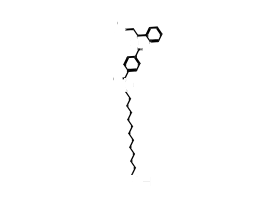 CCCCCCCCCCCCCCOC(C)c1ccc(C(=O)Oc2ccccc2CCCC)cc1